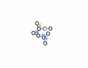 C1=CC(c2ccccc2)CC=C1c1cc(-n2c3ccccc3c3ccc(-c4cc(-c5ccccc5)nc(-c5ccccc5)n4)cc32)cc2c1sc1ccccc12